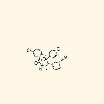 Cc1ccc(Cl)cc1S(=O)(=O)NC(C)C(Cc1ccc(Cl)cc1)c1cccc(C#N)c1